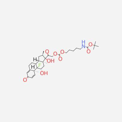 C[C@@H]1C[C@H]2[C@@H]3CCC4=CC(=O)C=C[C@]4(C)[C@@]3(F)[C@@H](O)C[C@]2(C)[C@@]1(O)C(=O)COC(=O)OCCCCCNC(=O)OC(C)(C)C